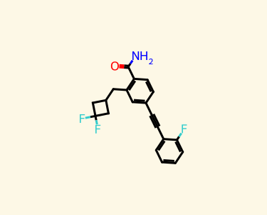 NC(=O)c1ccc(C#Cc2ccccc2F)cc1CC1CC(F)(F)C1